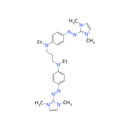 CCN(CCCN(CC)c1ccc(N=Nc2n(C)cc[n+]2C)cc1)c1ccc(N=Nc2n(C)cc[n+]2C)cc1